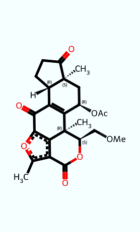 COC[C@H]1OC(=O)c2c(C)oc3c2[C@@]1(C)C1=C(C3=O)[C@@H]2CCC(=O)[C@@]2(C)C[C@H]1OC(C)=O